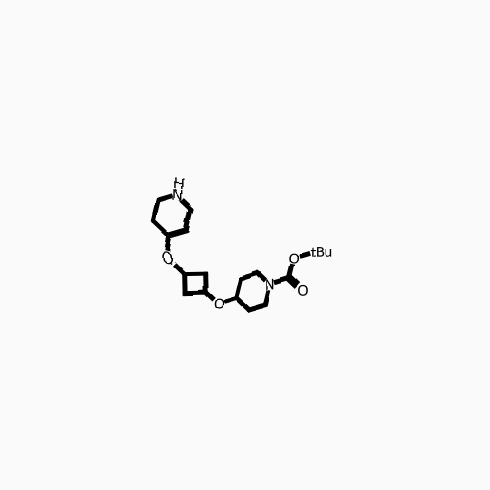 CC(C)(C)OC(=O)N1CCC(OC2CC(OC3CCNCC3)C2)CC1